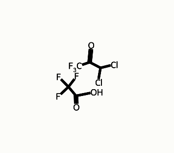 O=C(C(Cl)Cl)C(F)(F)F.O=C(O)C(F)(F)F